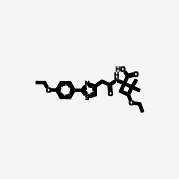 CCOc1ccc(-c2nc(CC(=O)NC3(C(=O)O)CC(OCC)C3(C)C)cs2)cc1